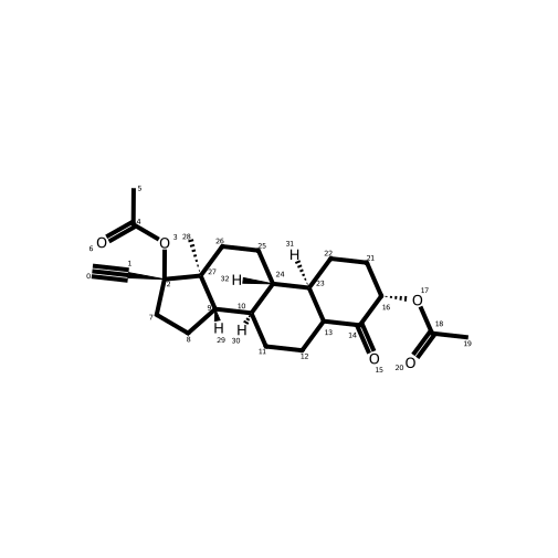 C#C[C@]1(OC(C)=O)CC[C@H]2[C@@H]3CCC4C(=O)[C@@H](OC(C)=O)CC[C@@H]4[C@H]3CC[C@@]21C